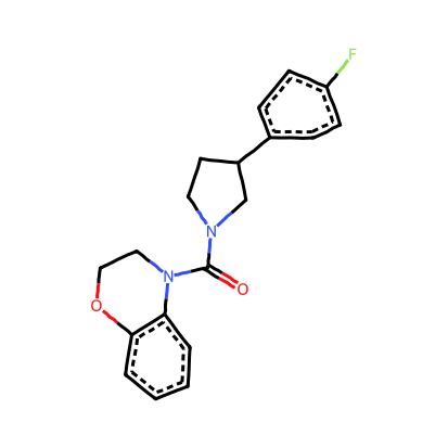 O=C(N1CCC(c2ccc(F)cc2)C1)N1CCOc2ccccc21